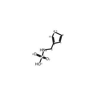 O=S(=O)(O)N[CH]c1ccsc1